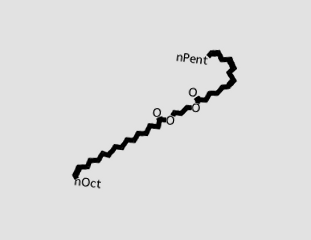 CCCCC/C=C\C/C=C\C/C=C\CCCCC(=O)OCCCOC(=O)CCCCCCCCCCCCC/C=C\CCCCCCCC